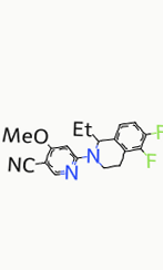 CCC1c2ccc(F)c(F)c2CCN1c1cc(OC)c(C#N)cn1